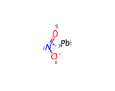 O=[N+][O-].[Pb]